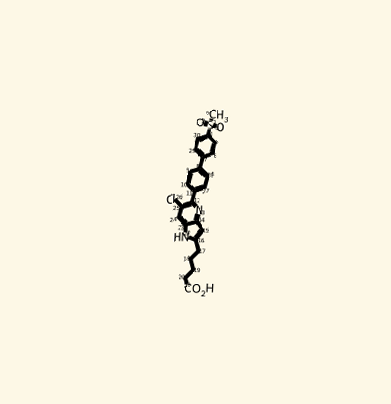 CS(=O)(=O)c1ccc(-c2ccc(-c3nc4cc(CCCCC(=O)O)[nH]c4cc3Cl)cc2)cc1